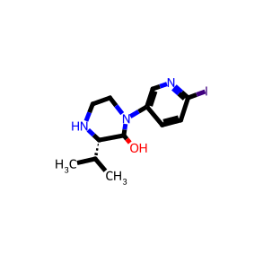 CC(C)[C@@H]1NCCN(c2ccc(I)nc2)C1O